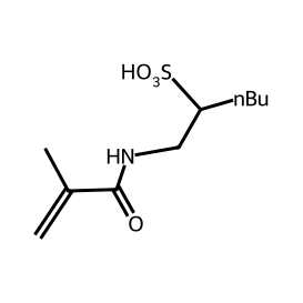 C=C(C)C(=O)NCC(CCCC)S(=O)(=O)O